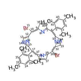 Cc1cc(C)c(-c2c3nc(c(Br)c4ccc([nH]4)c(-c4c(C)cc(C)cc4C)c4nc(c(Br)c5ccc2[nH]5)C=C4)C=C3)c(C)c1